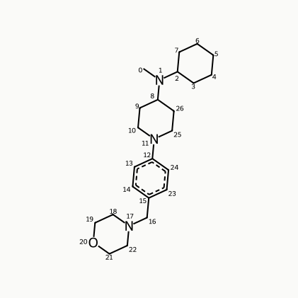 CN(C1CCCCC1)C1CCN(c2ccc(CN3CCOCC3)cc2)CC1